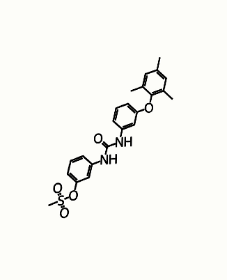 Cc1cc(C)c(Oc2cccc(NC(=O)Nc3cccc(OS(C)(=O)=O)c3)c2)c(C)c1